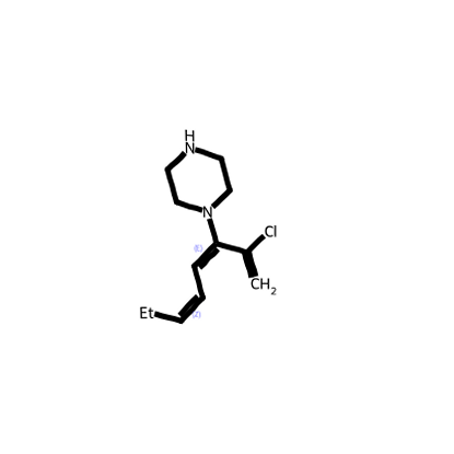 C=C(Cl)/C(=C\C=C/CC)N1CCNCC1